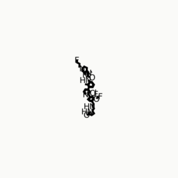 Cc1c(NC(=O)c2nc3c(n2C)CCN(CCCF)C3)cccc1-c1ccnc(-c2ccc(CNCC3CCC(=O)N3)c(OC(F)F)c2)c1Cl